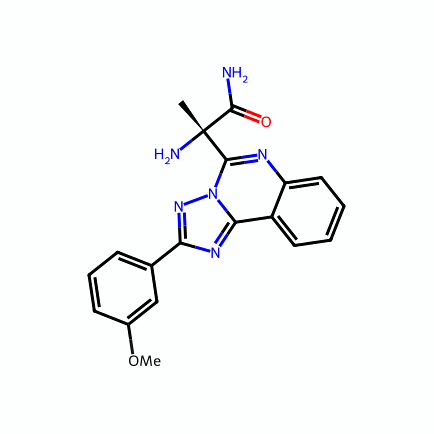 COc1cccc(-c2nc3c4ccccc4nc([C@](C)(N)C(N)=O)n3n2)c1